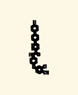 N#Cc1ccc(OC2CCC(NC(=O)c3ccc(N4CCC(N5CCNCC5)CC4)nn3)CC2)cc1Cl